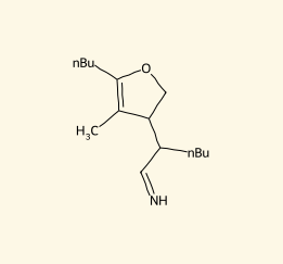 CCCCC1=C(C)C(C(C=N)CCCC)CO1